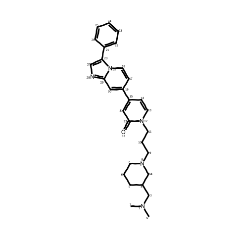 CN(C)CC1CCCN(CCCn2ccc(-c3ccn4c(-c5ccccc5)cnc4c3)cc2=O)C1